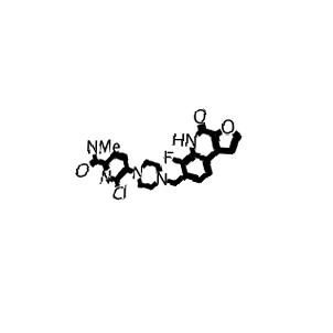 CNC(=O)c1ccc(N2CCN(Cc3ccc4c([nH]c(=O)c5occc54)c3F)CC2)c(Cl)n1